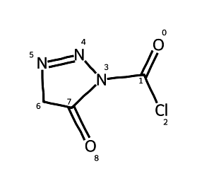 O=C(Cl)N1N=NCC1=O